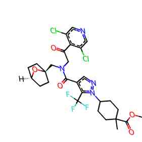 CCOC(=O)C1(C)CCC(n2ncc(C(=O)N(CC(=O)c3c(Cl)cncc3Cl)C[C@]34CC[C@@H](CC3)O4)c2C(F)(F)F)CC1